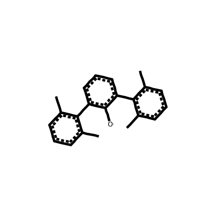 Cc1cccc(C)c1-c1cccc(-c2c(C)cccc2C)c1[O]